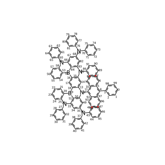 c1ccc(-c2c3ccccc3c(N3c4cc5c(cc4B4c6ccccc6N(c6ccccc6)c6cc(N(c7ccccc7)c7ccccc7)cc3c64)B3c4ccccc4N(c4ccccc4)c4cc(N(c6ccccc6)c6ccccc6)cc(c43)N5c3ccccc3)c3ccccc23)cc1